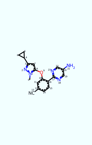 Cn1nc(C2CC2)cc1Oc1cc(C#N)ccc1-c1ncc(N)cn1